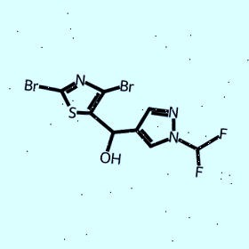 OC(c1cnn(C(F)F)c1)c1sc(Br)nc1Br